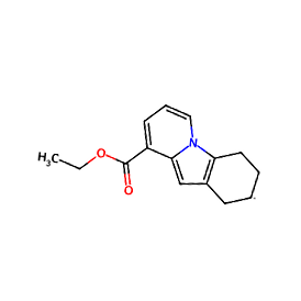 CCOC(=O)c1cccn2c3c(cc12)C[CH]CC3